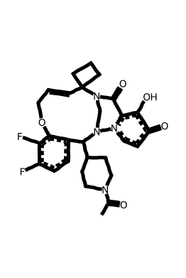 CC(=O)N1CCC(C2c3ccc(F)c(F)c3OC/C=C/C3(CCC3)N3CN2n2ccc(=O)c(O)c2C3=O)CC1